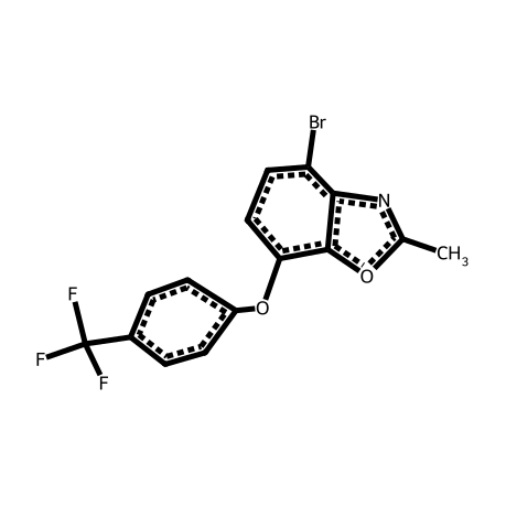 Cc1nc2c(Br)ccc(Oc3ccc(C(F)(F)F)cc3)c2o1